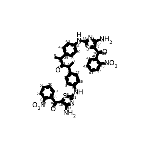 CC(C(=O)C(C)c1ccc(Nc2nc(N)c(C(=O)c3ccccc3[N+](=O)[O-])s2)cc1)c1ccc(Nc2nc(N)c(C(=O)c3ccccc3[N+](=O)[O-])s2)cc1